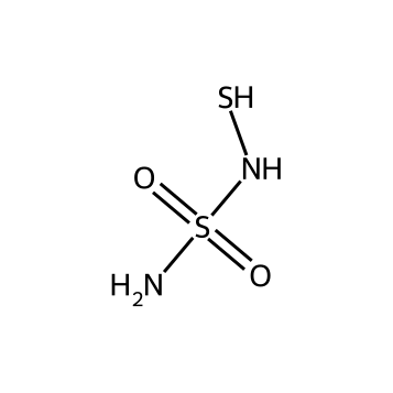 NS(=O)(=O)NS